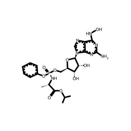 CC(C)OC(=O)[C@H](C)N[P@@](=O)(OC[C@H]1O[C@@H](n2cnc3c(NO)nc(N)nc32)[C@H](O)[C@@H]1O)Oc1ccccc1